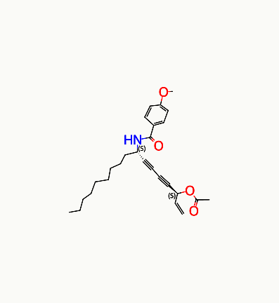 C=C[C@@H](C#CC#C[C@H](CCCCCCCCC)NC(=O)c1ccc(OC)cc1)OC(C)=O